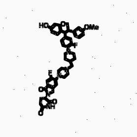 COc1cccc(C2COc3cc(O)ccc3C2c2ccc(N3CCC(CN4CCN(c5cc6c(cc5F)C(=O)N([C@H]5CCC(=O)NC5=O)C6)CC4)CC3)c(F)c2)c1